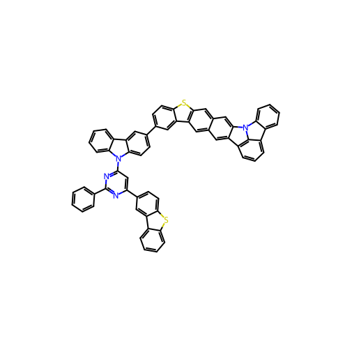 c1ccc(-c2nc(-c3ccc4sc5ccccc5c4c3)cc(-n3c4ccccc4c4cc(-c5ccc6sc7cc8cc9c(cc8cc7c6c5)c5cccc6c7ccccc7n9c65)ccc43)n2)cc1